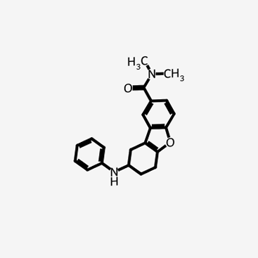 CN(C)C(=O)c1ccc2oc3c(c2c1)CC(Nc1ccccc1)CC3